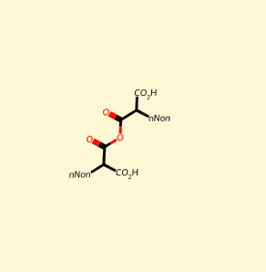 CCCCCCCCCC(C(=O)O)C(=O)OC(=O)C(CCCCCCCCC)C(=O)O